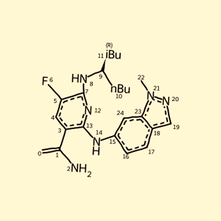 C=C(N)c1cc(F)c(NC(CCCC)[C@H](C)CC)nc1Nc1ccc2cnn(C)c2c1